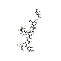 CC1(C)CCC(CN2CCN(c3ccc(C(=O)NS(=O)(=O)c4cnc(OC[C@@H]5C[C@H]6C[C@@H]5C[C@@]6(C)O)c(Cl)c4)c(Oc4cccc5[nH]ncc45)c3)CC2)=C(c2ccc(Cl)cc2)C1